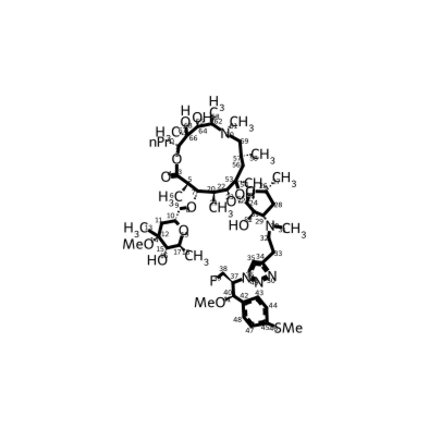 CCC[C@H]1OC(=O)[C@H](C)[C@@H](OC[C@H]2C[C@@](C)(OC)[C@@H](O)[C@H](C)O2)[C@H](C)[C@@H](O[C@@H]2O[C@H](C)C[C@H](N(C)CCc3cn([C@H](CF)[C@H](OC)c4ccc(SC)cc4)nn3)[C@H]2O)[C@](C)(O)C[C@@H](C)CN(C)[C@H](C)[C@@H](O)[C@]1(C)O